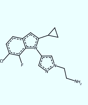 NCCn1cc(-n2c(C3CC3)cc3ccc(Cl)c(F)c32)cn1